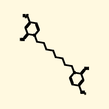 Cc1ccn(CCCCCCCCn2ccc(C)cc2=N)c(=N)c1